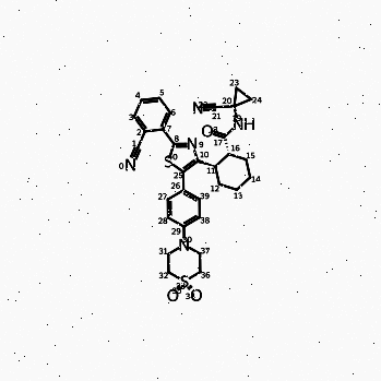 N#Cc1ccccc1-c1nc([C@@H]2CCCC[C@H]2C(=O)NC2(C#N)CC2)c(-c2ccc(N3CCS(=O)(=O)CC3)cc2)s1